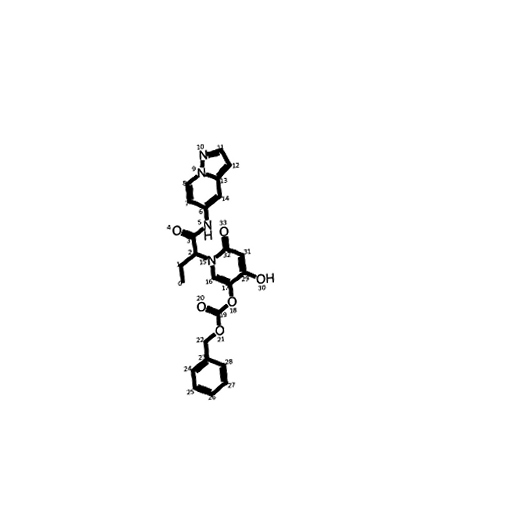 CCC(C(=O)Nc1ccn2nccc2c1)n1cc(OC(=O)OCc2ccccc2)c(O)cc1=O